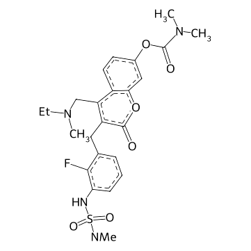 CCN(C)Cc1c(Cc2cccc(NS(=O)(=O)NC)c2F)c(=O)oc2cc(OC(=O)N(C)C)ccc12